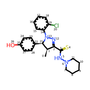 C[C@@H]1C(C(=S)NN2CCCCC2)=NN(c2ccccc2Cl)[C@@H]1c1ccc(O)cc1